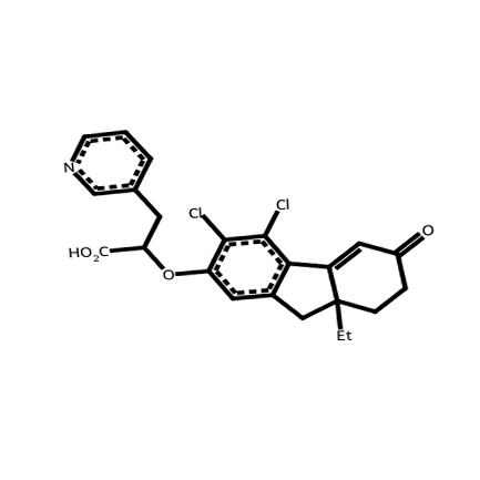 CCC12CCC(=O)C=C1c1c(cc(OC(Cc3cccnc3)C(=O)O)c(Cl)c1Cl)C2